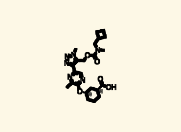 Cc1nc(-c2nnn(C)c2COC(=O)N(C)CC2CCC2)cnc1O[C@H]1CCC[C@H](C(=O)O)C1